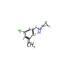 Cc1cc(F)cc(CNC2CC2)c1